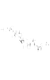 CCC(=O)O[C@]1(C(=O)SCC#N)CC[C@H]2[C@@H]3CCC4=Cc5c(cnn5-c5cccc(C(=O)NCC(N)=O)c5)C[C@]4(C)[C@H]3[C@@H](O)C[C@@]21C